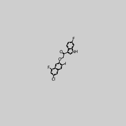 O=C(COc1cc2c(F)cc(Cl)cc2cc1I)c1c[nH]c2cc(F)ccc12